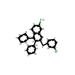 Fc1cccc(Cc2cc3cc(F)ccc3c(-c3ccccc3)c2-c2ccccc2)c1